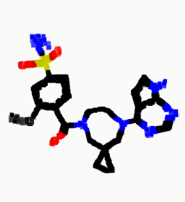 COc1cc(S(N)(=O)=O)ccc1C(=O)N1CCN(c2ncnc3[nH]ccc23)CC2(CC2)C1